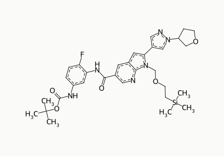 CC(C)(C)OC(=O)Nc1ccc(F)c(NC(=O)c2cnc3c(c2)cc(-c2cnn(C4CCOC4)c2)n3COCC[Si](C)(C)C)c1